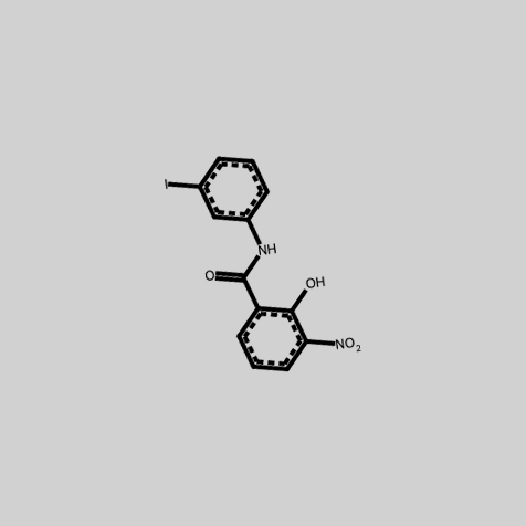 O=C(Nc1cccc(I)c1)c1cccc([N+](=O)[O-])c1O